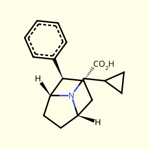 O=C(O)[C@@H]1C[C@@H]2CC[C@H]([C@H]1c1ccccc1)N2CC1CC1